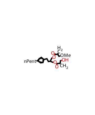 C=C(CO)C(=O)OCC(CCc1ccc(CCCCC)cc1)COC(=O)C(=C)COC